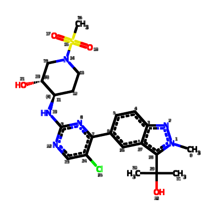 Cn1nc2ccc(-c3nc(N[C@@H]4CCN(S(C)(=O)=O)C[C@H]4O)ncc3Cl)cc2c1C(C)(C)O